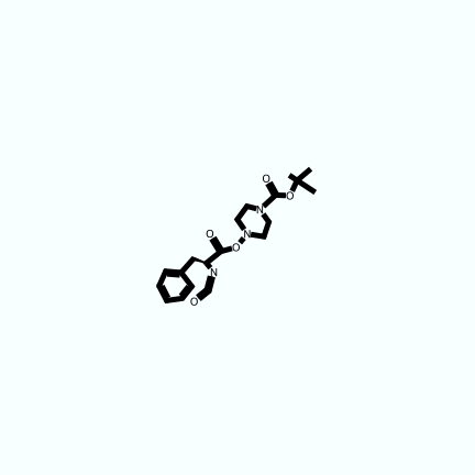 CC(C)(C)OC(=O)N1CCN(OC(=O)[C@H](Cc2ccccc2)N=C=O)CC1